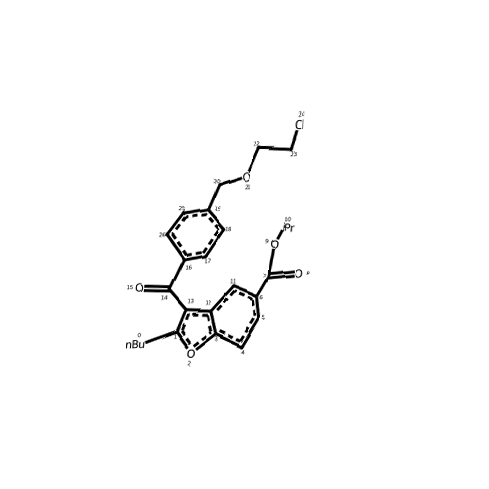 CCCCc1oc2ccc(C(=O)OC(C)C)cc2c1C(=O)c1ccc(COCCCl)cc1